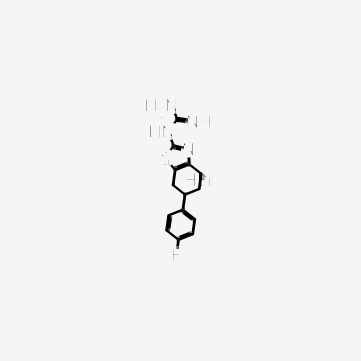 Br.N=C(N)Nc1nc2c(s1)CC(c1ccc(F)cc1)CC2